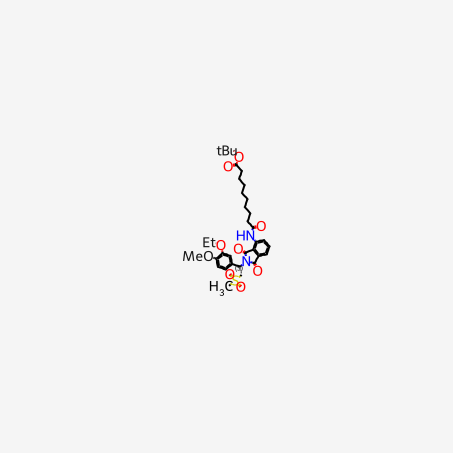 CCOc1cc([C@@H](CS(C)(=O)=O)N2C(=O)c3cccc(NC(=O)CCCCCCCCC(=O)OC(C)(C)C)c3C2=O)ccc1OC